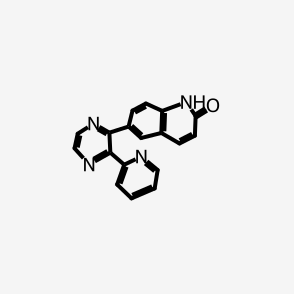 O=c1ccc2cc(-c3nccnc3-c3ccccn3)ccc2[nH]1